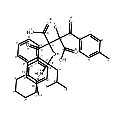 Cc1ccc(C(=O)C(O)(C(=O)O)C(O[C@](N)(CC(C)C)c2ccccc2N2CCCCC2)(C(=O)O)C(=O)c2ccc(C)cc2)cc1